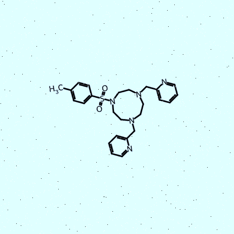 Cc1ccc(S(=O)(=O)N2CCN(Cc3ccccn3)CCN(Cc3ccccn3)CC2)cc1